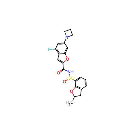 CC1Cc2cccc([S+]([O-])NC(=O)c3cc4c(F)cc(N5CCC5)cc4o3)c2O1